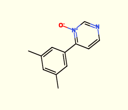 Cc1cc(C)cc(-c2ccnc[n+]2[O-])c1